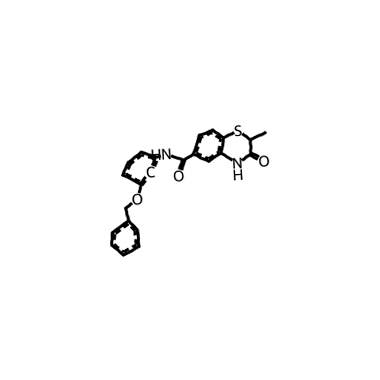 CC1Sc2ccc(C(=O)Nc3cccc(OCc4ccccc4)c3)cc2NC1=O